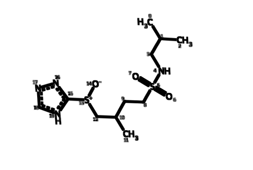 CC(C)CNS(=O)(=O)CCC(C)C[S+]([O-])c1nnc[nH]1